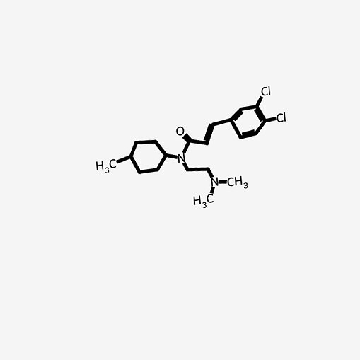 CC1CCC(N(CCN(C)C)C(=O)C=Cc2ccc(Cl)c(Cl)c2)CC1